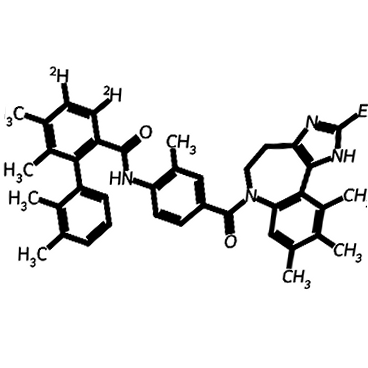 [2H]c1c([2H])c(C(=O)Nc2ccc(C(=O)N3CCc4nc(CC)[nH]c4-c4c3cc(C)c(C)c4C)cc2C)c(-c2cccc(C)c2C)c(C)c1C